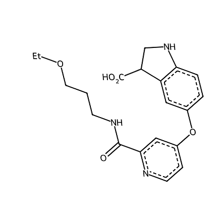 CCOCCCNC(=O)c1cc(Oc2ccc3c(c2)C(C(=O)O)CN3)ccn1